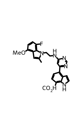 COc1ccc(F)c2c1cc(C)n2CCNc1cc(-c2ccc(C(=O)O)c3[nH]ccc23)ncn1